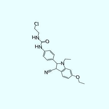 CCOc1ccc2c(c1)N(CC)C(c1ccc(NC(=O)NCCCl)cc1)C2C#N